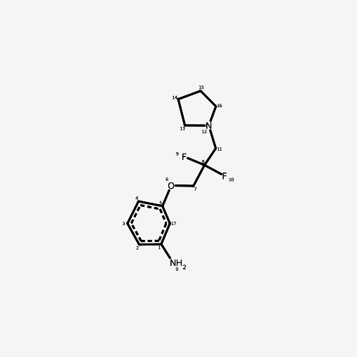 Nc1cccc(OCC(F)(F)CN2CCCC2)c1